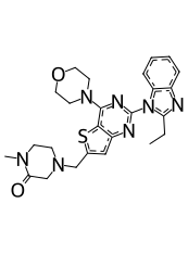 CCc1nc2ccccc2n1-c1nc(N2CCOCC2)c2sc(CN3CCN(C)C(=O)C3)cc2n1